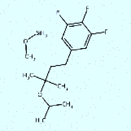 CC(C)OC(C)(C)CCc1cc(F)c(F)c(F)c1.CO[SiH3]